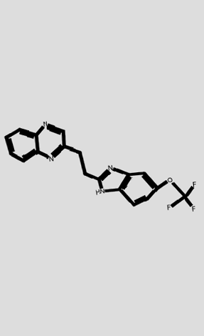 FC(F)(F)Oc1ccc2[nH]c(CCc3cnc4ccccc4n3)nc2c1